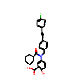 O=C(O)c1cc(N(Cc2ccc(C#Cc3ccc(Cl)cc3)cc2)C(=O)C2CCCCC2)ccc1O